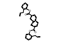 C=CCc1ccccc1OC(=O)c1ccc2ccc(C(=O)Oc3ccccc3CC=C)cc2c1